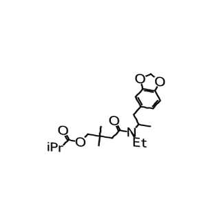 CCN(C(=O)CC(C)(C)COC(=O)C(C)C)C(C)Cc1ccc2c(c1)OCO2